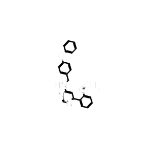 COc1ccccc1-c1cc(NCc2ccc(Oc3ccccc3)cc2)ncn1